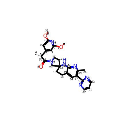 COc1cc([C@@H](C)C(=O)N2CC[C@@]3(CCc4cc(-c5ncccn5)c(C)nc4N3)C2)cc(OC)n1